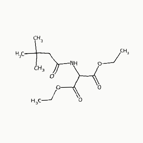 CCOC(=O)C(NC(=O)CC(C)(C)C)C(=O)OCC